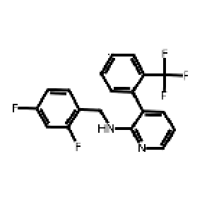 Fc1ccc(CNc2ncccc2-c2cc[c]cc2C(F)(F)F)c(F)c1